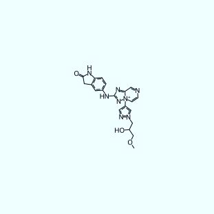 COCC(O)Cn1cc([N+]23C=CN=CC2=NC(Nc2ccc4c(c2)CC(=O)N4)=N3)cn1